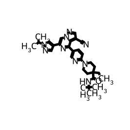 CCC1(C(=O)NC(C)(C)C)CCN(c2ccc(-c3nc(-c4cnn(C(C)C)c4)cn4ncc(C#N)c34)cn2)CC1